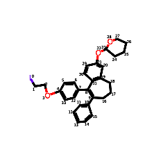 ICCOc1ccc(C2=C(c3ccccc3)CCCc3cc(OC4CCCCO4)ccc32)cc1